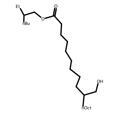 CCCCCCCCC(CO)CCCCCCCCC(=O)OCC(CC)CCCC